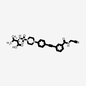 CC(C)[C@@H](NS(=O)(=O)N1CCN(c2ccc(C#Cc3cccc(C(=O)NCC#N)c3)cc2)CC1)C(=O)O